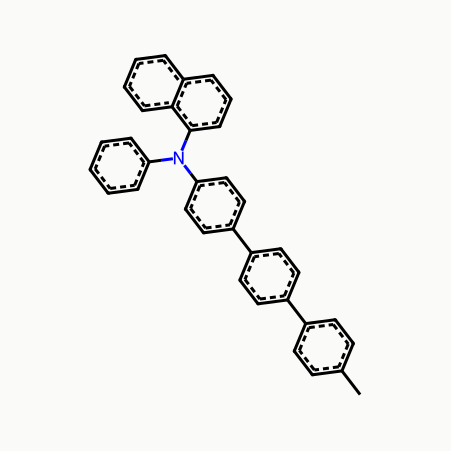 Cc1ccc(-c2ccc(-c3ccc(N(c4ccccc4)c4cccc5ccccc45)cc3)cc2)cc1